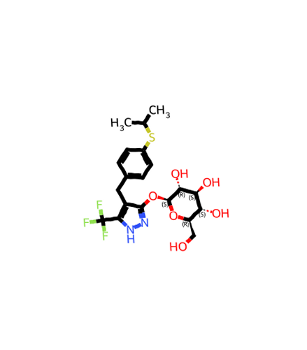 CC(C)Sc1ccc(Cc2c(O[C@@H]3O[C@H](CO)[C@@H](O)[C@H](O)[C@H]3O)n[nH]c2C(F)(F)F)cc1